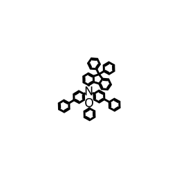 c1ccc(Oc2cc(-c3ccccc3)ccc2N(c2ccc(-c3ccccc3)cc2)c2cccc3c2-c2ccccc2C3(c2ccccc2)c2ccccc2)cc1